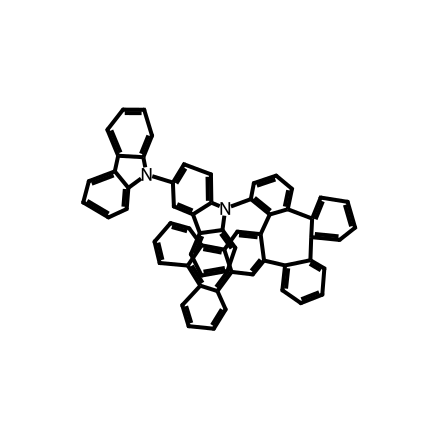 c1ccc2c(c1)-c1ccccc1-c1cccc(-n3c4ccccc4c4cc(-n5c6ccccc6c6ccccc65)ccc43)c1-c1cc3c4ccccc4c4ccccc4c3cc1-2